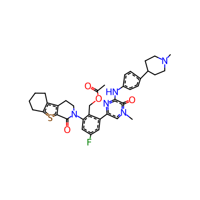 CC(=O)OCc1c(-c2cn(C)c(=O)c(Nc3ccc(C4CCN(C)CC4)cc3)n2)cc(F)cc1N1CCc2c(sc3c2CCCC3)C1=O